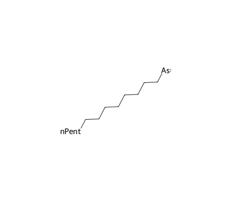 CCCCCCCCCCCCC[As]